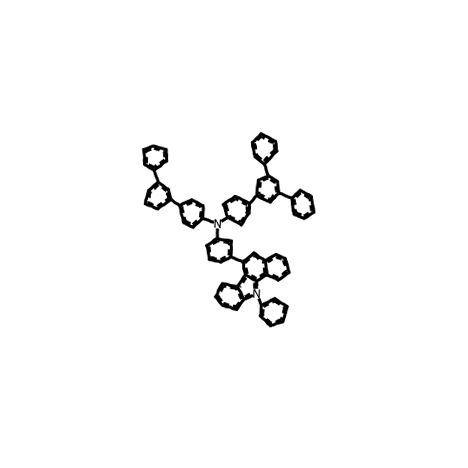 c1ccc(-c2cccc(-c3ccc(N(c4ccc(-c5cc(-c6ccccc6)cc(-c6ccccc6)c5)cc4)c4cccc(-c5cc6ccccc6c6c5c5ccccc5n6-c5ccccc5)c4)cc3)c2)cc1